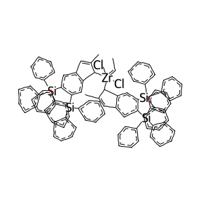 C[CH]=[Zr]([Cl])([Cl])([CH]1C(C)=Cc2cc([Si](c3ccccc3)(c3ccccc3)c3ccccc3)c([Si](c3ccccc3)(c3ccccc3)c3ccccc3)cc21)[CH]1C(C)=Cc2cc([Si](c3ccccc3)(c3ccccc3)c3ccccc3)c([Si](c3ccccc3)(c3ccccc3)c3ccccc3)cc21